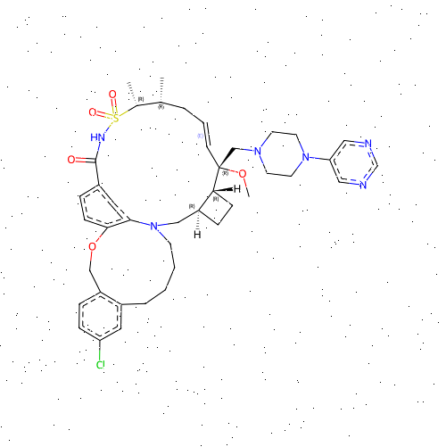 CO[C@@]1(CN2CCN(c3cncnc3)CC2)/C=C/C[C@@H](C)[C@@H](C)S(=O)(=O)NC(=O)c2ccc3c(c2)N(CCCCc2cc(Cl)ccc2CO3)C[C@@H]2CC[C@H]21